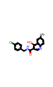 CCCc1ccc2ncc(C(=O)NCc3ccc(Cl)cc3)c(O)c2c1